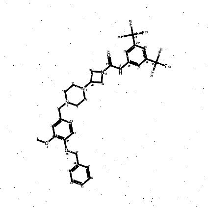 COc1cc(CN2CCN(C3CN(C(=O)Nc4cc(C(F)(F)F)cc(C(F)(F)F)c4)C3)CC2)ccc1OCc1ccccc1